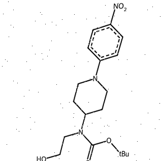 CC(C)(C)OC(=O)N(CCO)C1CCN(c2ccc([N+](=O)[O-])cc2)CC1